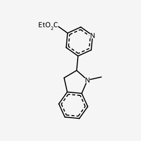 CCOC(=O)c1cncc(C2Cc3ccccc3N2C)c1